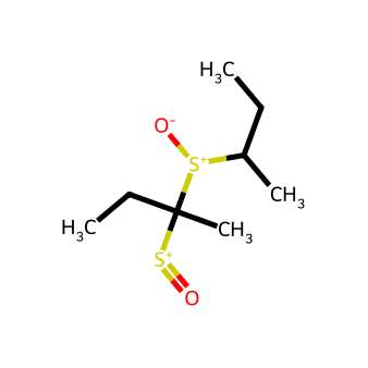 CCC(C)[S+]([O-])C(C)(CC)[S+]=O